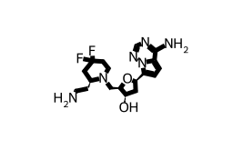 NCC[C@@H]1CC(F)(F)CCN1C[C@H]1O[C@@H](c2ccc3c(N)ncnn23)C[C@@H]1O